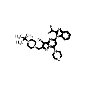 CC(C)(C)N1CCN(Cc2nn3c(N4CCOCC4)cc(-n4c(C(F)F)nc5ccccc54)nc3c2Br)CC1